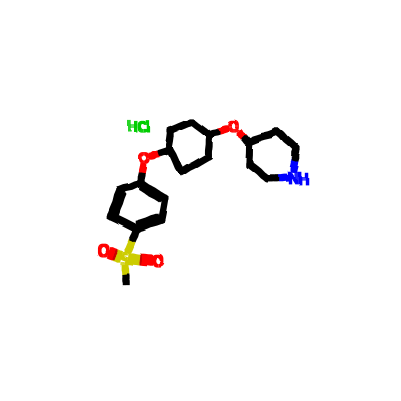 CS(=O)(=O)c1ccc(OC2CCC(OC3CCNCC3)CC2)cc1.Cl